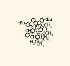 Cc1cccc(C)c1-c1cc2c3c(c1)N(c1ccc(C(C)(C)C)cc1-c1ccccc1)c1ccc4c(c1B3c1cc3c(cc1N2c1ccc2c(c1)C(C)(C)CCC2(C)C)C(C)(C)CCC3(C)C)Cc1cc(C(C)(C)C)ccc1-4